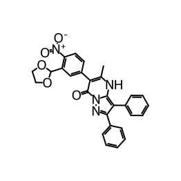 Cc1[nH]c2c(-c3ccccc3)c(-c3ccccc3)nn2c(=O)c1-c1ccc([N+](=O)[O-])c(C2OCCO2)c1